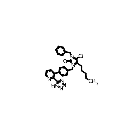 CCCCCc1c(Cl)n(Cc2ccccc2)c(=O)n1Cc1ccc(-c2cccnc2-c2nnn[nH]2)cc1